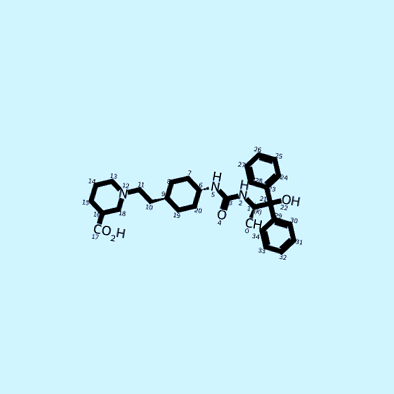 C[C@@H](NC(=O)N[C@H]1CC[C@H](CCN2CCCC(C(=O)O)C2)CC1)C(O)(c1ccccc1)c1ccccc1